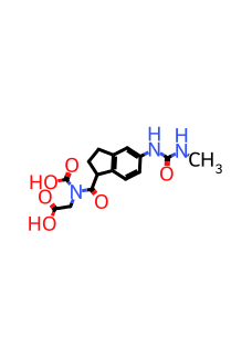 CNC(=O)Nc1ccc2c(c1)CCC2C(=O)N(CC(=O)O)C(=O)O